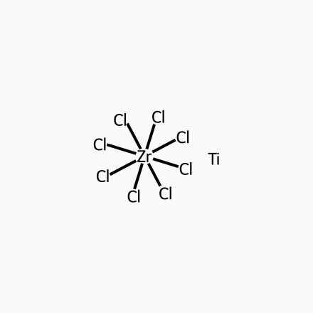 [Cl][Zr]([Cl])([Cl])([Cl])([Cl])([Cl])([Cl])[Cl].[Ti]